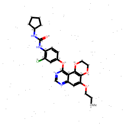 COCCOc1cc2ncnc(Oc3ccc(NC(=O)NC4CCCC4)c(Cl)c3)c2c2c1OCCO2